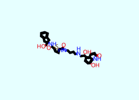 O=C(NCCCCNC[C@H](O)c1ccc(O)c2[nH]c(=O)ccc12)c1ccc(CNC2(C(=O)O)Cc3ccccc3C2)s1